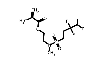 C=C(C)C(=O)OCCN(C)S(=O)(=O)CCC(F)(F)C(F)F